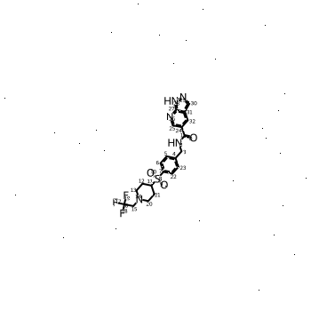 O=C(NCc1ccc(S(=O)(=O)C2CCN(CC(F)(F)F)CC2)cc1)c1cnc2[nH]ncc2c1